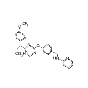 O=C(O)CC(c1ccc(OC(F)(F)F)cc1)c1ccnc(Oc2ccc(CNc3ccccn3)cc2)n1